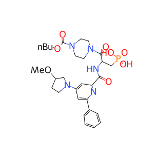 CCCCOC(=O)N1CCN(C(=O)C(CP(=O)(O)O)NC(=O)c2cc(N3CCC(OC)C3)cc(-c3ccccc3)n2)CC1